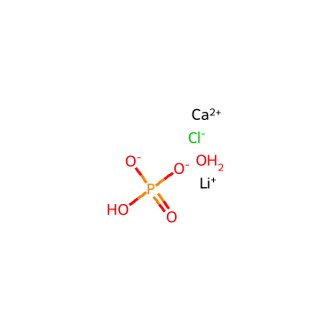 O.O=P([O-])([O-])O.[Ca+2].[Cl-].[Li+]